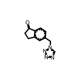 O=C1CCc2cc(Cn3cnnn3)ccc21